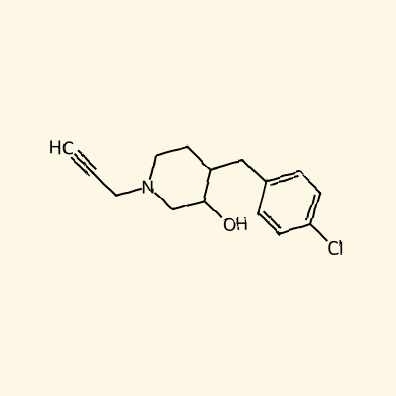 C#CCN1CCC(Cc2ccc(Cl)cc2)C(O)C1